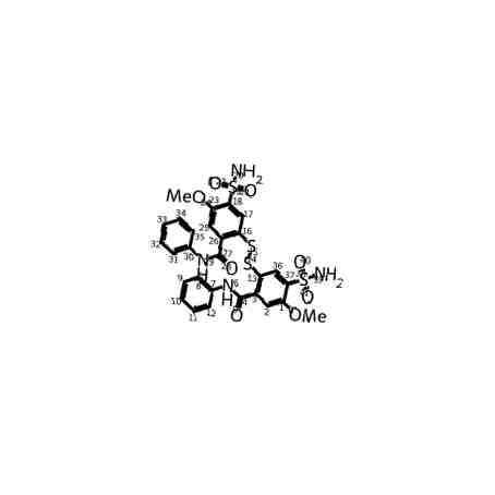 COc1cc(C(=O)Nc2ccccc2)c(SSc2cc(S(N)(=O)=O)c(OC)cc2C(=O)Nc2ccccc2)cc1S(N)(=O)=O